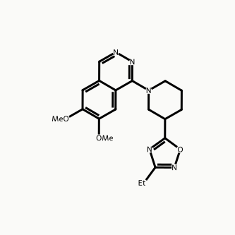 CCc1noc(C2CCCN(c3nncc4cc(OC)c(OC)cc34)C2)n1